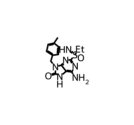 CCS(=N)(=O)c1nc(N)c2[nH]c(=O)n(Cc3ccc(C)cc3)c2n1